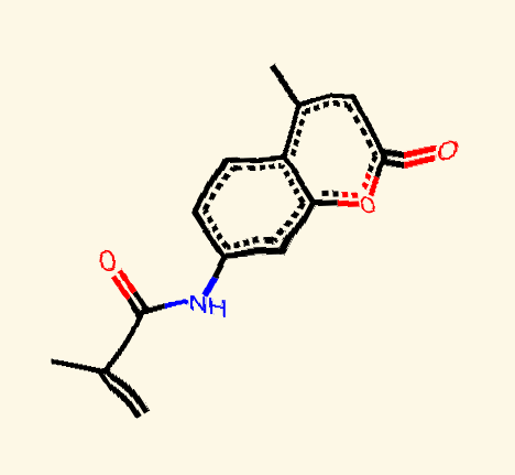 C=C(C)C(=O)Nc1ccc2c(C)cc(=O)oc2c1